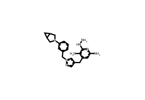 NNc1nc(N)cc(Cc2cnn(Cc3cccc(N4CC5CC5C4)c3)c2)c1N